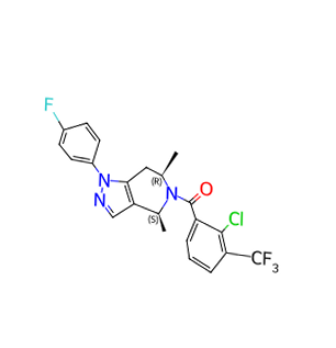 C[C@@H]1Cc2c(cnn2-c2ccc(F)cc2)[C@H](C)N1C(=O)c1cccc(C(F)(F)F)c1Cl